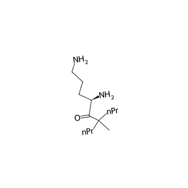 CCCC(C)(CCC)C(=O)[C@H](N)CCCN